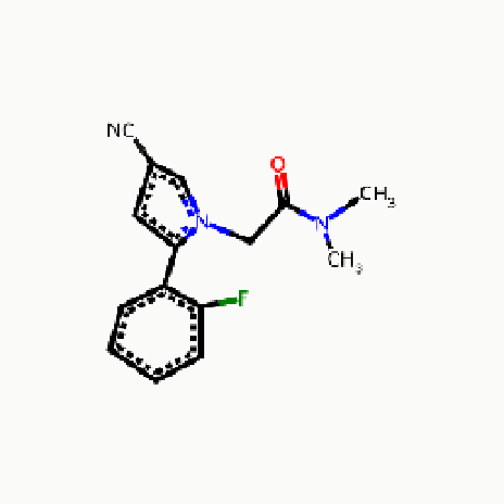 CN(C)C(=O)Cn1cc(C#N)cc1-c1ccccc1F